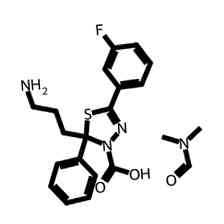 CN(C)C=O.NCCCC1(c2ccccc2)SC(c2cccc(F)c2)=NN1C(=O)O